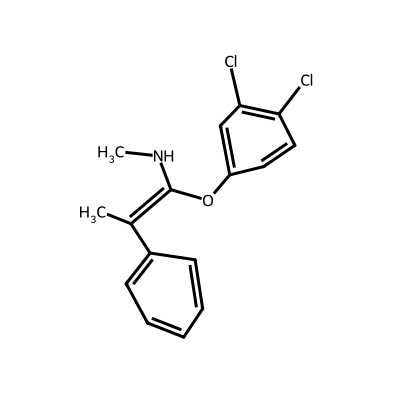 CNC(Oc1ccc(Cl)c(Cl)c1)=C(C)c1ccccc1